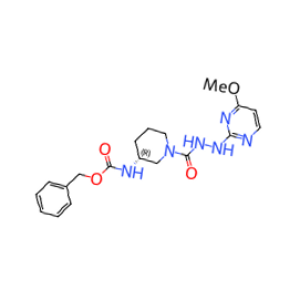 COc1ccnc(NNC(=O)N2CCC[C@@H](NC(=O)OCc3ccccc3)C2)n1